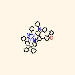 c1ccc(-c2nc(-c3ccccc3)nc(-n3c4ccc(-c5ccc6oc7cccc(-c8ccc9c(c8)c8ccccc8n9-c8ccccc8)c7c6c5)cc4c4ccc5c(c43)-c3ccccc3C53c4ccccc4-c4ccccc43)n2)cc1